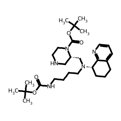 CC(C)(C)OC(=O)NCCCCN(C[C@@H]1CNCCN1C(=O)OC(C)(C)C)[C@H]1CCCc2cccnc21